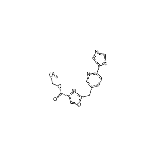 CCOC(=O)c1coc(Cc2ccc(-c3cncs3)nc2)n1